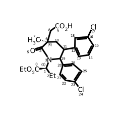 CCOC(=O)[C@H](CC)N1C(=O)[C@@](C)(CC(=O)O)CC(c2cccc(Cl)c2)C1c1ccc(Cl)cc1